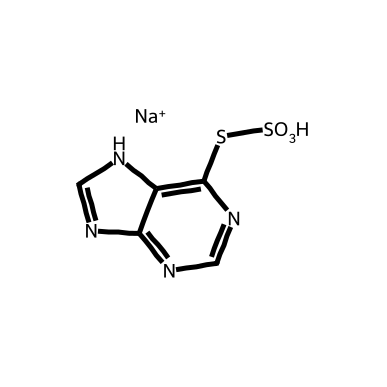 O=S(=O)(O)Sc1ncnc2nc[nH]c12.[Na+]